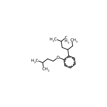 CC[C](CC(C)C)c1ccccc1OCCC(C)C